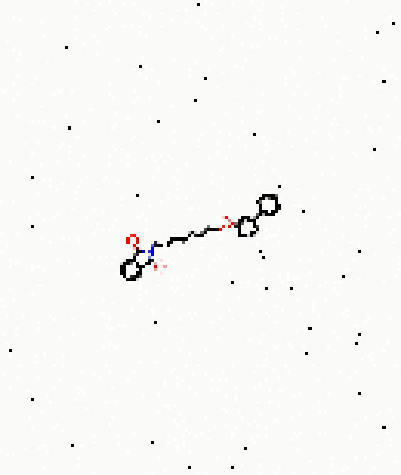 O=C1c2ccccc2C(=O)N1CCCCCCCCOc1cccc(-c2ccccc2)c1